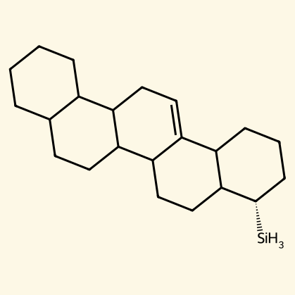 [SiH3][C@H]1CCCC2C3=CCC4C5CCCCC5CCC4C3CCC21